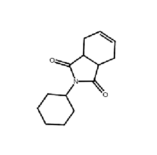 O=C1C2CC=CCC2C(=O)N1C1CCCCC1